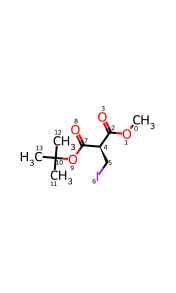 COC(=O)[C@@H](CI)C(=O)OC(C)(C)C